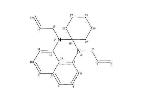 C=CCN1c2cccc3cccc(c23)N(CC=C)C12CCCCC2